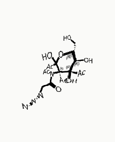 CC(=O)N(C(=O)CN=[N+]=[N-])[C@@]1(C(C)=O)C(O)(C(C)=O)O[C@H](CO)[C@@H](O)[C@@]1(O)C(C)=O